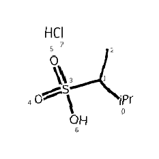 CC(C)C(C)S(=O)(=O)O.Cl